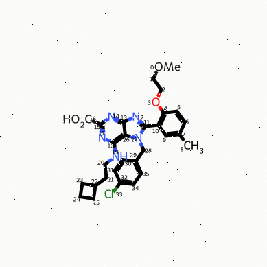 COCCOc1ccc(C)cc1-c1nc2nc(C(=O)O)nc(NCCC3CCC3)c2n1Cc1ccc(Cl)cc1